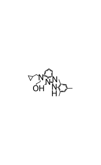 Cc1cc(C)c(Nc2nc3cccc(N(CCO)CC4CC4)c3n2C)c(C)c1